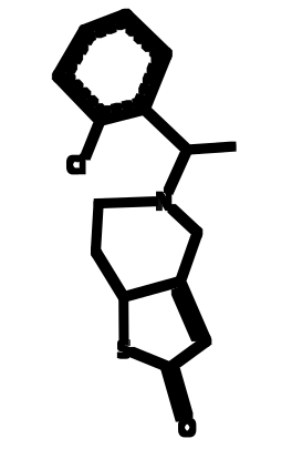 CC(c1ccccc1Cl)N1CCC2SC(=O)C=C2C1